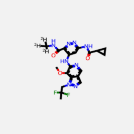 [2H]C([2H])([2H])NC(=O)c1nnc(NC(=O)C2CC2)cc1Nc1ncc2cnn(CC(C)(F)F)c2c1OC